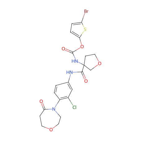 O=C(NC1(C(=O)Nc2ccc(N3CCOCCC3=O)c(Cl)c2)CCOC1)Oc1ccc(Br)s1